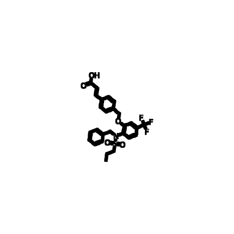 CCCS(=O)(=O)N(Cc1ccccc1)c1ccc(C(F)(F)F)cc1OCc1ccc(/C=C/C(=O)O)cc1